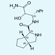 CCC[C@H](NC(=O)[C@H]1NC[C@@H]2CCC[C@@H]21)C(O)C(N)=O